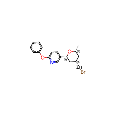 C[C@@H]1C[C@H]([Zn][Br])C[C@H](c2ccc(Oc3ccccc3)nc2)O1